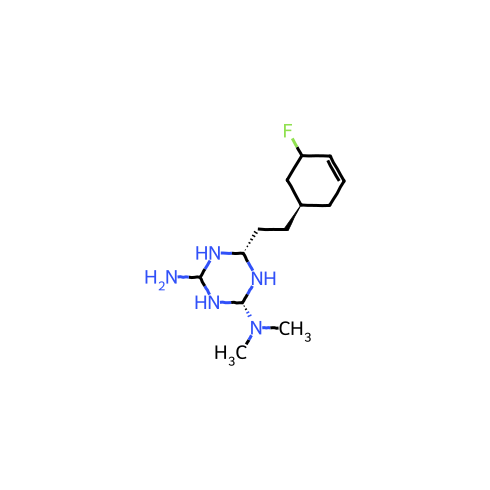 CN(C)[C@@H]1NC(N)N[C@H](CC[C@@H]2CC=CC(F)C2)N1